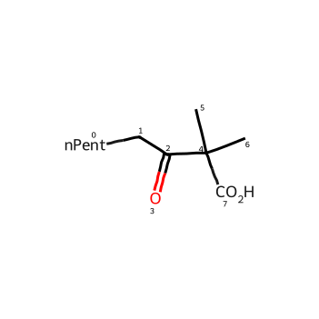 CCCCCCC(=O)C(C)(C)C(=O)O